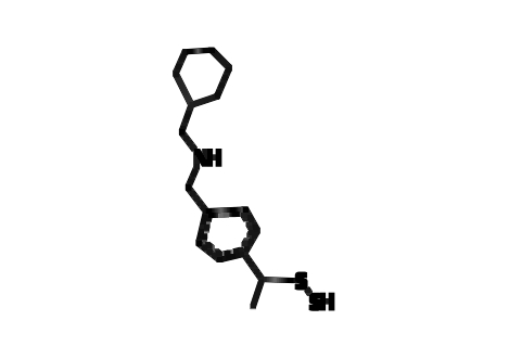 CC(SS)c1ccc(CNCC2CCCCC2)cc1